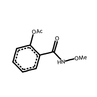 CONC(=O)c1ccccc1OC(C)=O